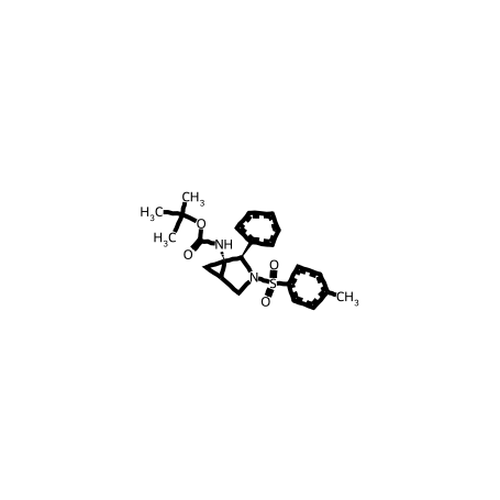 Cc1ccc(S(=O)(=O)N2CC3C[C@@]3(NC(=O)OC(C)(C)C)[C@H]2c2ccccc2)cc1